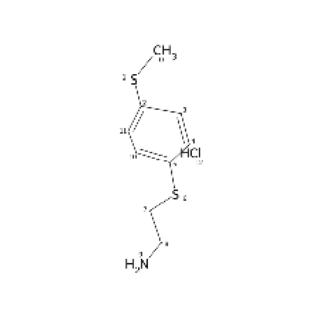 CSc1ccc(SCCN)cc1.Cl